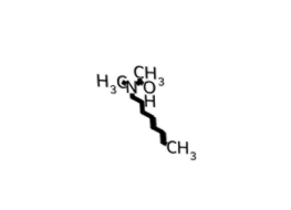 C/C=C/C=C/CCCN(C)C(C)O